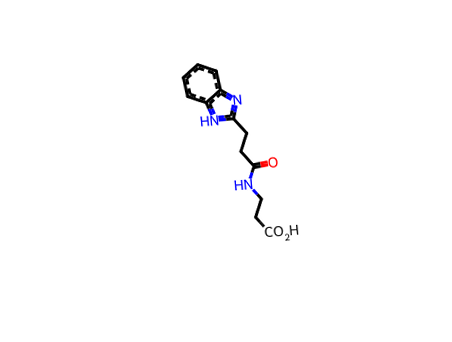 O=C(O)CCNC(=O)CCc1nc2ccccc2[nH]1